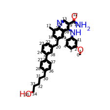 COc1cccc(Nc2c(C(N)=O)cnc3c(C)cc(Cc4cccc(-c5ccc(CCCCCO)cc5)c4)cc23)c1